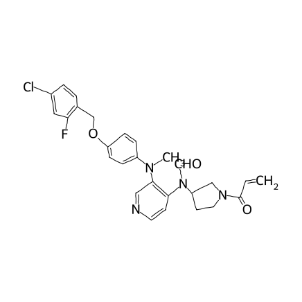 C=CC(=O)N1CCC(N(C=O)c2ccncc2N(C)c2ccc(OCc3ccc(Cl)cc3F)cc2)C1